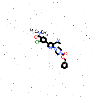 CN(C)C(=O)c1ccc(-c2cnc(N3CCN(C(=O)OCc4ccccc4)CC3)c(C3=NC3)c2)cc1Cl